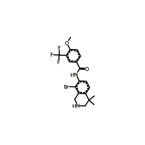 COc1ccc(C(=O)Nc2ccc3c(c2Br)CNCC3(C)C)cc1C(F)(F)F